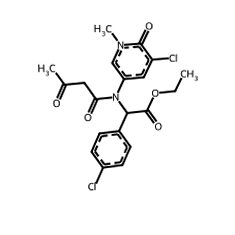 CCOC(=O)C(c1ccc(Cl)cc1)N(C(=O)CC(C)=O)c1cc(Cl)c(=O)n(C)c1